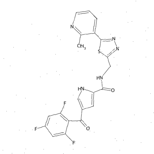 Cc1ncccc1-c1nnc(CNC(=O)c2cc(C(=O)c3c(F)cc(F)cc3F)c[nH]2)s1